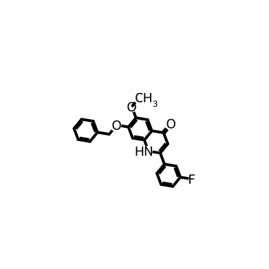 COc1cc2c(=O)cc(-c3cccc(F)c3)[nH]c2cc1OCc1ccccc1